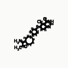 C[C@@H]1OC2CCCN(c3cnc(Sc4ccc5nc[nH]c(=O)c5c4Cl)cn3)CCC2[C@@H]1N